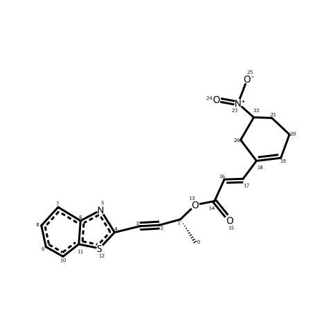 C[C@H](C#Cc1nc2ccccc2s1)OC(=O)/C=C/C1=CCCC([N+](=O)[O-])C1